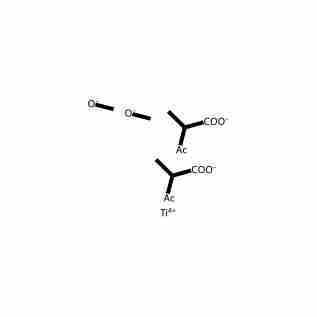 CC(=O)C(C)C(=O)[O-].CC(=O)C(C)C(=O)[O-].C[O-].C[O-].[Ti+4]